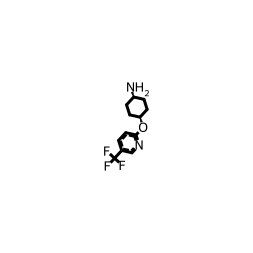 N[C@H]1CC[C@@H](Oc2ccc(C(F)(F)F)cn2)CC1